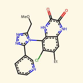 CCc1cc2[nH]c(=O)c(=O)[nH]c2c(-n2c(COC)nnc2-c2cccnc2)c1Cl